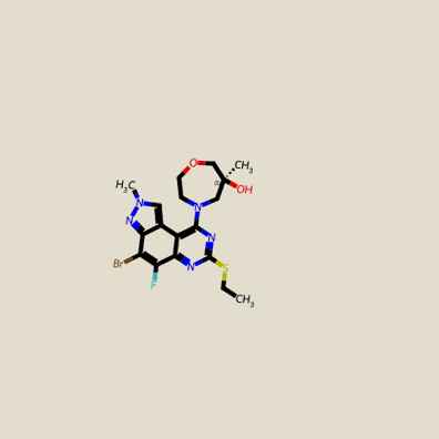 CCSc1nc(N2CCOC[C@@](C)(O)C2)c2c(n1)c(F)c(Br)c1nn(C)cc12